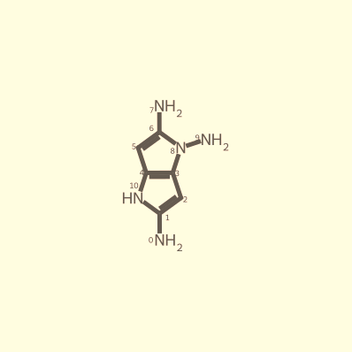 Nc1cc2c(cc(N)n2N)[nH]1